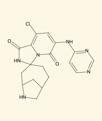 O=C1NC2(CCC3CNC(C3)C2)n2c1c(Cl)cc(Nc1ccncn1)c2=O